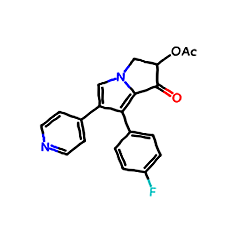 CC(=O)OC1Cn2cc(-c3ccncc3)c(-c3ccc(F)cc3)c2C1=O